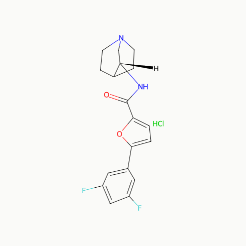 Cl.O=C(N[C@H]1CN2CCC1CC2)c1ccc(-c2cc(F)cc(F)c2)o1